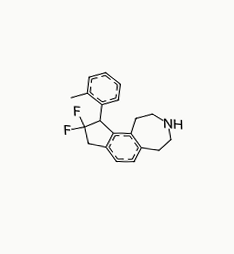 Cc1ccccc1C1c2c(ccc3c2CCNCC3)CC1(F)F